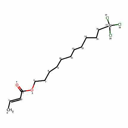 CC=CC(=O)OCCCCCCCCCCC[Si](Cl)(Cl)Cl